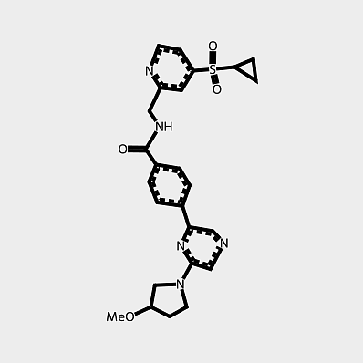 COC1CCN(c2cncc(-c3ccc(C(=O)NCc4cc(S(=O)(=O)C5CC5)ccn4)cc3)n2)C1